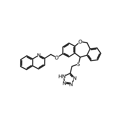 c1ccc2c(c1)COc1ccc(OCc3ccc4ccccc4n3)cc1C2SCc1nnn[nH]1